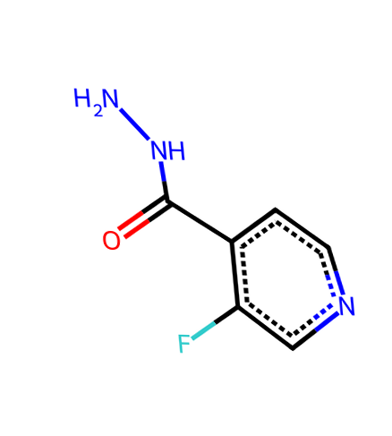 NNC(=O)c1ccncc1F